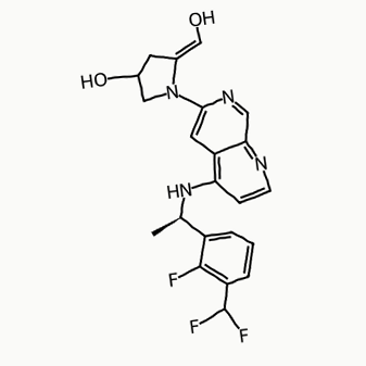 C[C@@H](Nc1ccnc2cnc(N3CC(O)C/C3=C\O)cc12)c1cccc(C(F)F)c1F